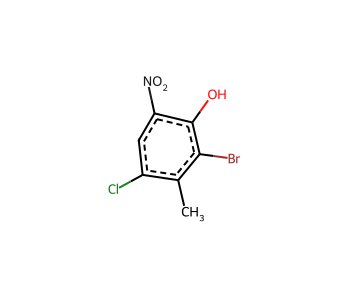 Cc1c(Cl)cc([N+](=O)[O-])c(O)c1Br